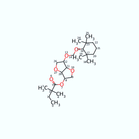 CCC(C)(C)C(=O)OC1COC2C(OCOC3C(C)(C)CCCC3(C)C)COC12